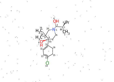 CC(C)[C@@H](C)C(O)N1CC[C@](O)(C2=CC=C(Cl)CC2)C(C)(C)C1